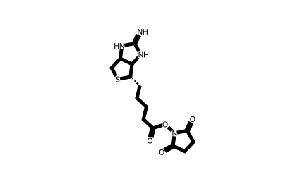 N=C1NC2CS[C@@H](CCCCC(=O)ON3C(=O)CCC3=O)C2N1